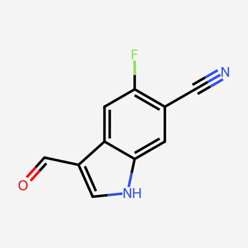 N#Cc1cc2[nH]cc(C=O)c2cc1F